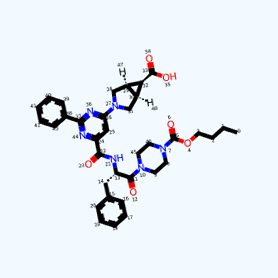 CCCCOC(=O)N1CCN(C(=O)[C@H](Cc2ccccc2)NC(=O)c2cc(N3C[C@@H]4[C@H](C3)[C@@H]4C(=O)O)nc(-c3ccccc3)n2)CC1